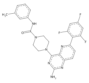 Cc1cccc(NC(=O)N2CCN(c3nc(N)nc4ccc(-c5c(F)cc(F)cc5F)nc34)CC2)c1